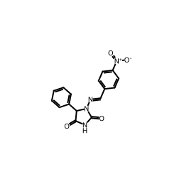 O=C1NC(=O)N(N=Cc2ccc([N+](=O)[O-])cc2)C1c1ccccc1